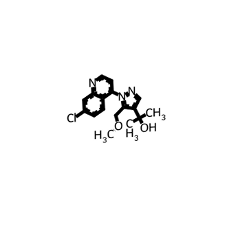 COCc1c(C(C)(C)O)cnn1-c1ccnc2cc(Cl)ccc12